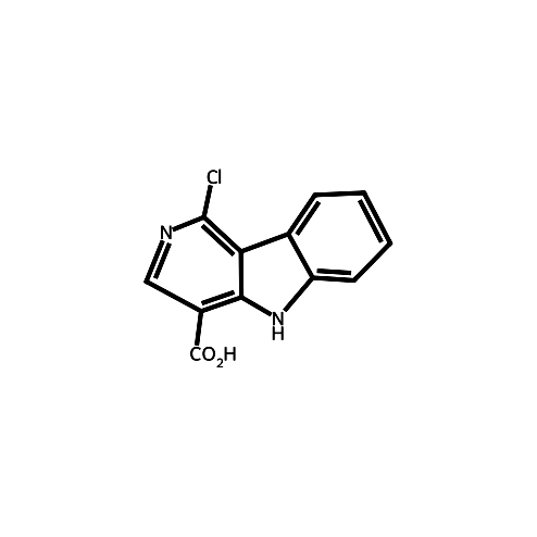 O=C(O)c1cnc(Cl)c2c1[nH]c1ccccc12